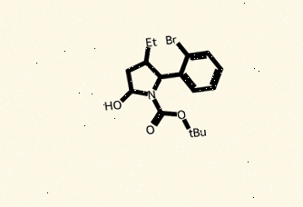 CCC1CC(O)N(C(=O)OC(C)(C)C)C1c1ccccc1Br